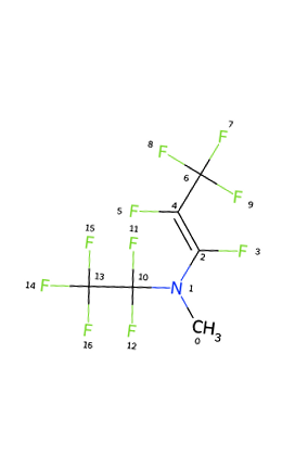 CN(/C(F)=C(\F)C(F)(F)F)C(F)(F)C(F)(F)F